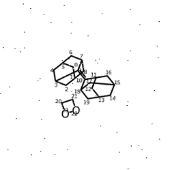 C1C2CC3CC1CC(C2)C3=C1C2CC3CC(C2)CC1C3.C1COO1